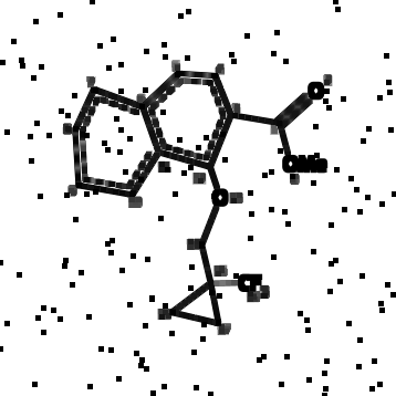 COC(=O)c1ccc2ccccc2c1OCC1(C(F)(F)F)CC1